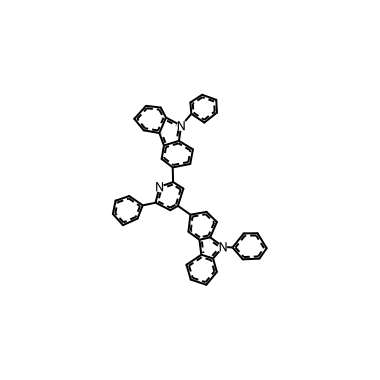 c1ccc(-c2cc(-c3ccc4c(c3)c3ccccc3n4-c3ccccc3)cc(-c3ccc4c(c3)c3ccccc3n4-c3ccccc3)n2)cc1